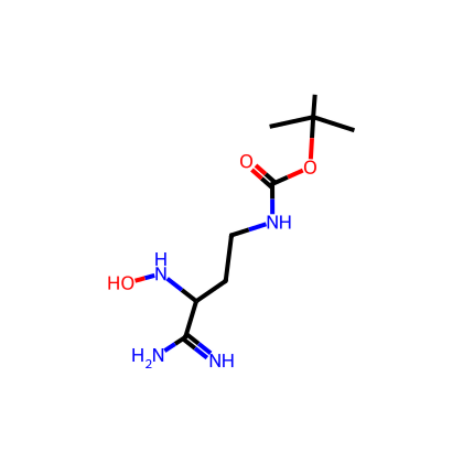 CC(C)(C)OC(=O)NCCC(NO)C(=N)N